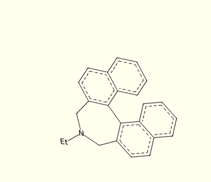 CCN1Cc2ccc3ccccc3c2-c2c(ccc3ccccc23)C1